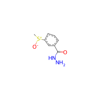 C[S+]([O-])c1cccc(C(=O)NN)c1